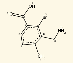 Cc1ccc(C(=O)O)c(Br)c1CN